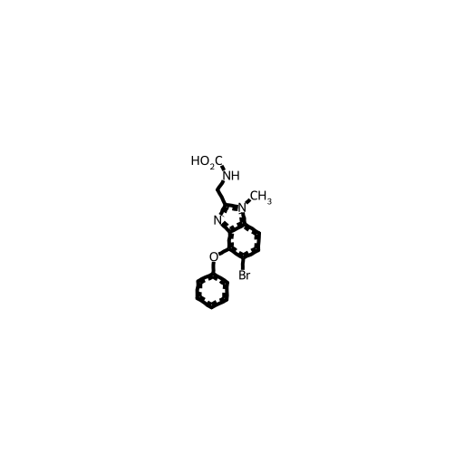 Cn1c(CNC(=O)O)nc2c(Oc3ccccc3)c(Br)ccc21